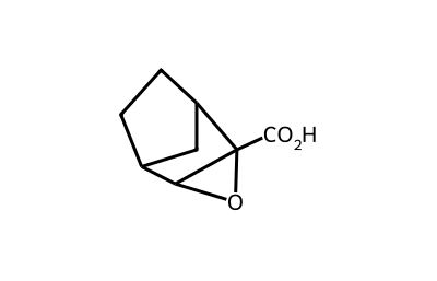 O=C(O)C12OC1C1CCC2C1